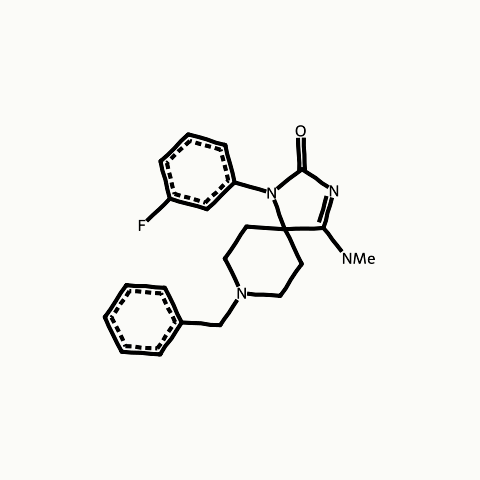 CNC1=NC(=O)N(c2cccc(F)c2)C12CCN(Cc1ccccc1)CC2